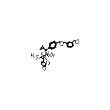 CCCN(c1nc(-c2ccc(Cl)cc2Cl)c(C)s1)C(c1ccc(COCc2cccc(CCl)c2)cc1)C1CC1